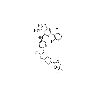 CN(C(=O)Cc1ccc(Nc2nc(-c3c(F)cccc3F)nc3c2C(O)NC3)cc1)C1CCN(C(=O)OC(C)(C)C)CC1